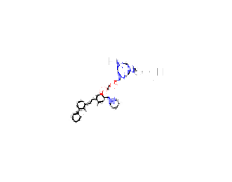 CCN1CCN(CCOCCOc2cc(/C=C/c3cccc(-c4ccccc4)c3C)c(C)cc2CN2CCCCC2)CCN(CC(=O)O)CC1